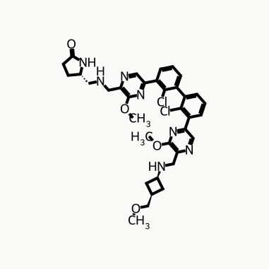 COC[C@H]1C[C@@H](NCc2ncc(-c3cccc(-c4cccc(-c5cnc(CNC[C@@H]6CCC(=O)N6)c(OC)n5)c4Cl)c3Cl)nc2OC)C1